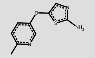 Cc1ccc(Oc2cnc(N)s2)cn1